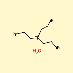 CC(C)C[CH2][Ti]([CH2]CC(C)C)[CH2]CC(C)C.O